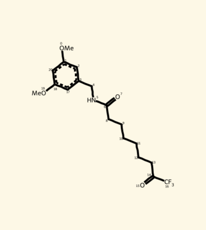 COc1cc(CNC(=O)CCCCCCC(=O)C(F)(F)F)cc(OC)c1